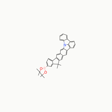 CC1(C)c2cc(B3OC(C)(C)C(C)(C)O3)ccc2-c2cc3cc4c(cc3cc21)c1cccc2c3ccccc3n4c21